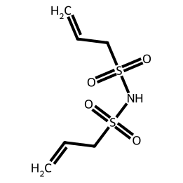 C=CCS(=O)(=O)NS(=O)(=O)CC=C